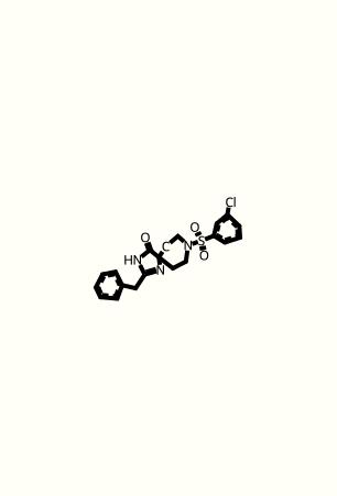 O=C1NC(Cc2ccccc2)=NC12CCN(S(=O)(=O)c1cccc(Cl)c1)CC2